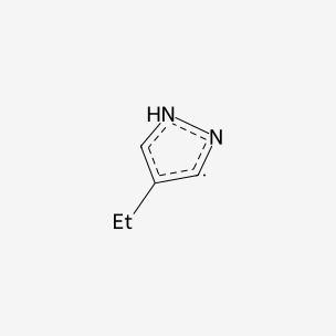 CCc1[c]n[nH]c1